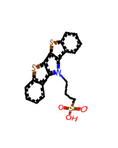 O=S(=O)(O)CCCn1c2c3ccccc3sc2c2sc3ccccc3c21